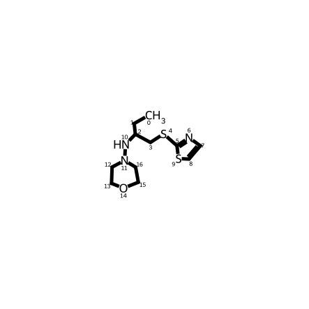 CCC(CSc1nccs1)NN1CCOCC1